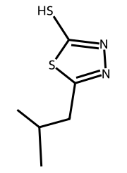 CC(C)Cc1nnc(S)s1